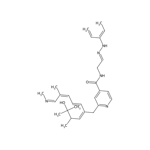 C=C/C(=C\C)N/N=C/CNC(=O)c1ccnc(CC(=C/C(C)C(C)(C)O)/C=C/C=C(C)\C=N/C)c1